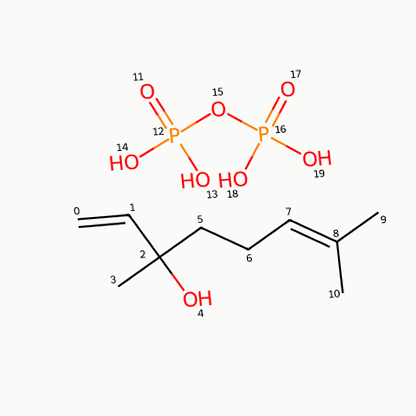 C=CC(C)(O)CCC=C(C)C.O=P(O)(O)OP(=O)(O)O